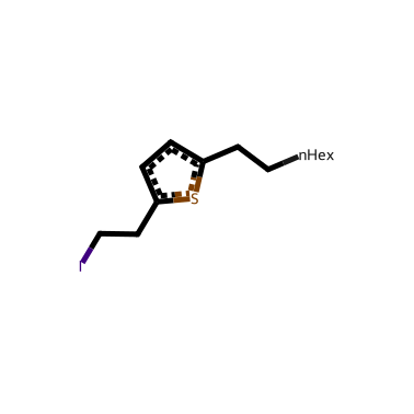 CCCCCCCCc1ccc(CCI)s1